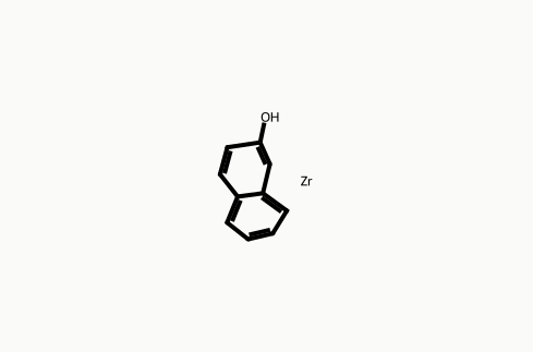 Oc1ccc2ccccc2c1.[Zr]